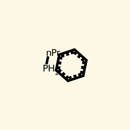 CCCP.c1ccccc1